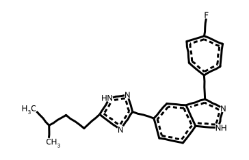 CC(C)CCc1nc(-c2ccc3[nH]nc(-c4ccc(F)cc4)c3c2)n[nH]1